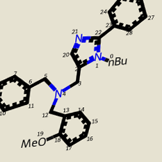 CCCCn1c(CN(Cc2ccccc2)Cc2ccccc2OC)cnc1-c1ccccc1